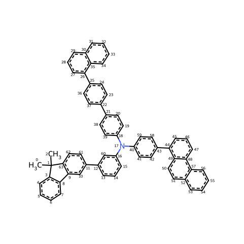 CC1(C)c2ccccc2-c2cc(-c3cccc(N(c4ccc(-c5ccc(-c6cccc7ccccc67)cc5)cc4)c4ccc(-c5cccc6c5ccc5ccccc56)cc4)c3)ccc21